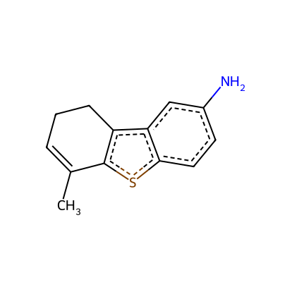 CC1=CCCc2c1sc1ccc(N)cc21